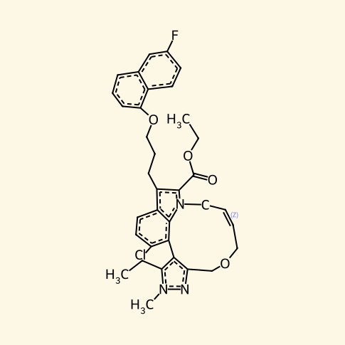 CCOC(=O)c1c(CCCOc2cccc3cc(F)ccc23)c2ccc(Cl)c3c2n1C/C=C\COCc1nn(C)c(CC)c1-3